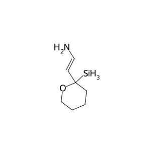 NC=CC1([SiH3])CCCCO1